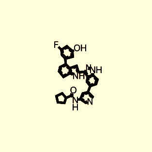 O=C(Nc1cncc(-c2ccc3[nH]nc(-c4cc5c(-c6cc(O)cc(F)c6)cccc5[nH]4)c3c2)c1)C1CCCC1